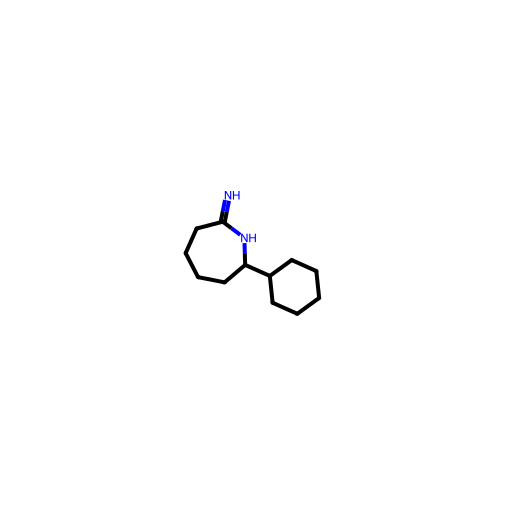 N=C1CCCCC(C2CCCCC2)N1